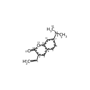 C=Cc1cc2ccc(N(C)C)cc2oc1=O